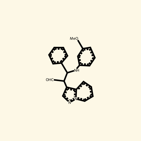 COc1cccc(NC(c2ccccc2)C(C=O)c2cnn3ccccc23)c1